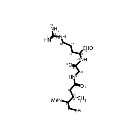 CNC(CC(C)C)[C@@H](C)CC(=O)NCC(=O)NC(C=O)CCCNC(=N)N